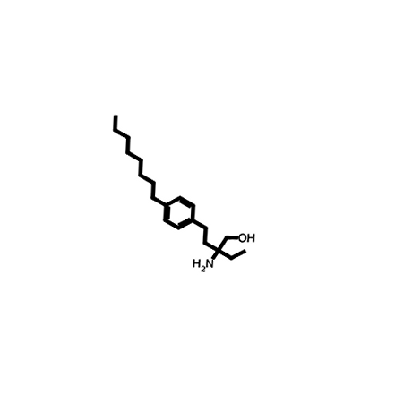 CCCCCCCCc1ccc(CCC(N)(CC)CO)cc1